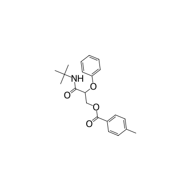 Cc1ccc(C(=O)OCC(Oc2ccccc2)C(=O)NC(C)(C)C)cc1